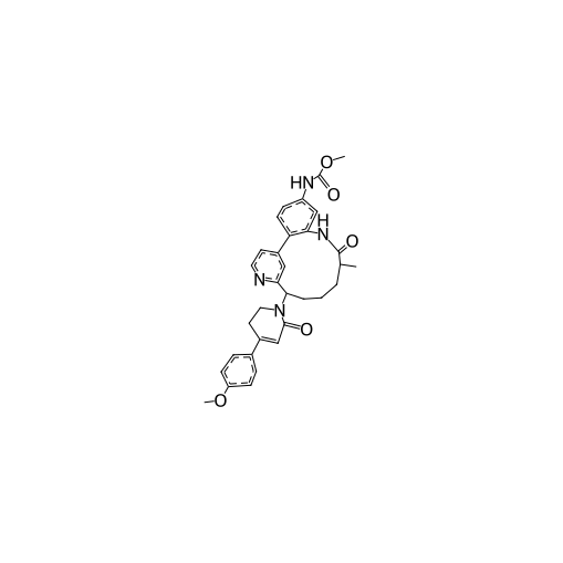 COC(=O)Nc1ccc2c(c1)NC(=O)C(C)CCCC(N1CCC(c3ccc(OC)cc3)=CC1=O)c1cc-2ccn1